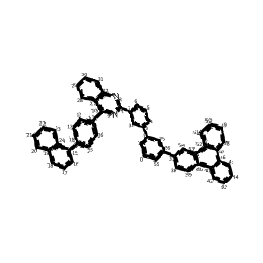 c1cc(-c2cccc(-c3nc(-c4ccc(-c5cccc6ccccc56)cc4)c4ccccc4n3)c2)cc(-c2ccc3c4ccccc4c4ccccc4c3c2)c1